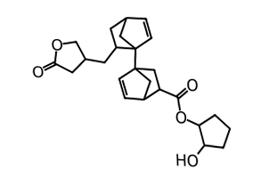 O=C1CC(CC2CC3C=CC2(C24C=CC(C2)C(C(=O)OC2CCCC2O)C4)C3)CO1